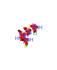 CC(C)(C)c1ccc(Oc2nccc(-c3c(-c4ccc(F)cc4)ncn3C3CCNCC3)n2)cc1.Cc1ccc(Oc2nccc(-c3c(-c4ccc(F)cc4)ncn3C3CCNCC3)n2)cc1.Fc1ccc(-c2ncn(C3CCNCC3)c2-c2ccnc(Oc3ccc(C(F)(F)F)cc3)n2)cc1.Fc1ccc(-c2ncn(C3CCNCC3)c2-c2ccnc(Oc3ccc(Cl)cc3)n2)cc1